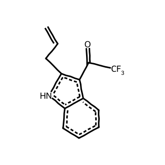 C=CCc1[nH]c2ccccc2c1C(=O)C(F)(F)F